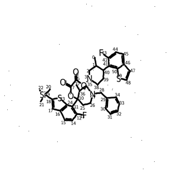 CC1CN(OC(=O)C(=O)OC2(c3c(F)ccc4cc([Si](C)(C)C)sc34)CCN(Cc3ccccc3)CC2C)CCC1c1c(F)ccc2ccsc12